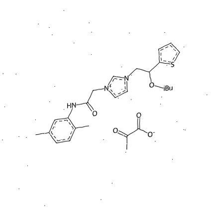 CC(=O)C(=O)[O-].CCC(C)OC(Cn1cc[n+](CC(=O)Nc2cc(C)ccc2C)c1)c1cccs1